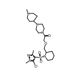 Cc1nn(C)c(Cl)c1S(=O)(=O)N1CCCCC1COCC(=O)N1CCN(C2CCN(C)CC2)CC1